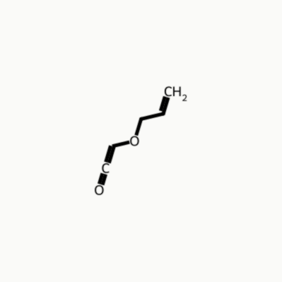 C=CCOC=C=O